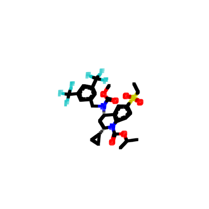 CCS(=O)(=O)c1ccc2c(c1)[C@@H](N(Cc1cc(C(F)(F)F)cc(C(F)(F)F)c1)C(=O)OC)C[C@@H](C1CC1)N2C(=O)OC(C)C